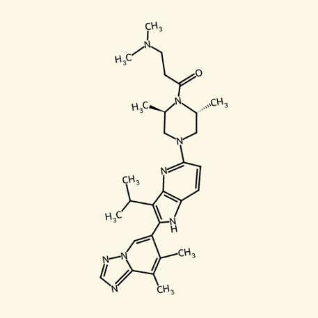 Cc1c(-c2[nH]c3ccc(N4C[C@@H](C)N(C(=O)CCN(C)C)[C@H](C)C4)nc3c2C(C)C)cn2ncnc2c1C